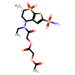 CCN(C(=O)COC(=O)COC(C)=O)[C@H]1C[C@H](C)S(=O)(=O)c2sc(S(N)(=O)=O)cc21